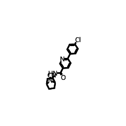 N#CN1C2CCC1C(NC(=O)c1ccc(-c3ccc(Cl)cc3)nc1)C2